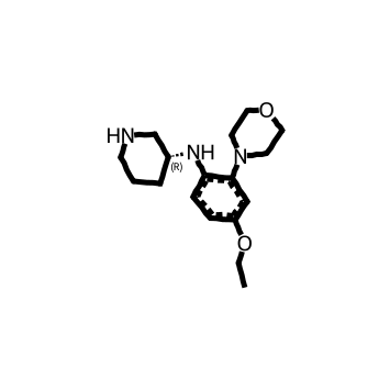 CCOc1ccc(N[C@@H]2CCCNC2)c(N2CCOCC2)c1